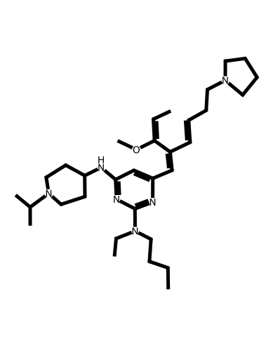 C\C=C(OC)/C(=C\c1cc(NC2CCN(C(C)C)CC2)nc(N(CC)CCCC)n1)/C=C/CCN1CCCC1